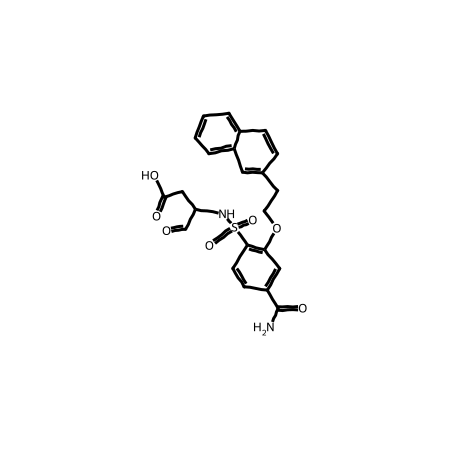 NC(=O)c1ccc(S(=O)(=O)NC(C=O)CC(=O)O)c(OCCc2ccc3ccccc3c2)c1